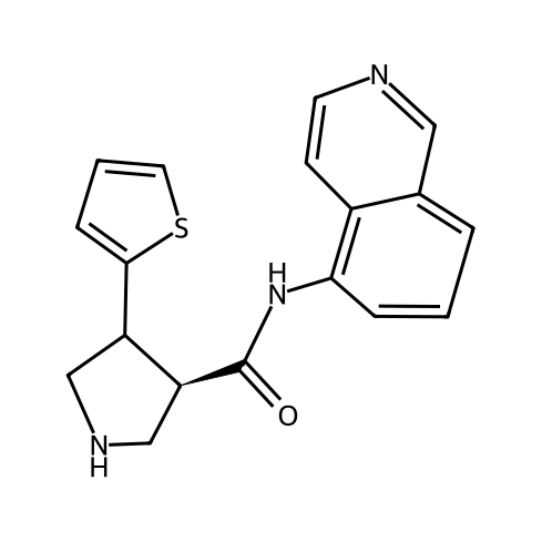 O=C(Nc1cccc2cnccc12)[C@H]1CNCC1c1cccs1